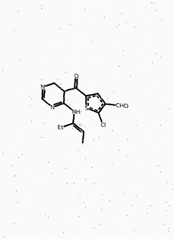 C/C=C(\CC)NC1=NC=NCC1C(=O)c1cc(C=O)c(Cl)s1